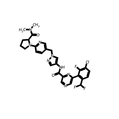 CN(C)C(=O)C1CCCN1c1ccc(Cn2cc(NC(=O)c3cncc(-c4c(C(F)F)ccc(Cl)c4F)n3)cn2)cn1